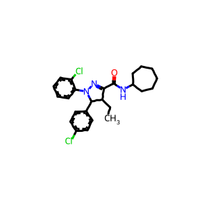 CCC1C(C(=O)NC2CCCCCC2)=NN(c2ccccc2Cl)C1c1ccc(Cl)cc1